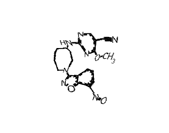 COc1nc(N[C@@H]2CCCN(c3noc4c(N=O)cccc34)C2)ncc1C#N